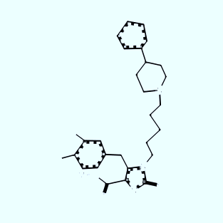 COC(=O)c1[nH]c(=O)n(CCCCCN2CCC(c3ccccc3)CC2)c1Cc1ccc(F)c(F)c1